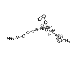 Cc1ccnc(NCCCC(=O)NCC(=O)N[C@@H](CC(=O)NCCOCCOCCOCCOCCOCCN=[N+]=[N-])c2ccc(-c3cccc4ccccc34)cc2)c1